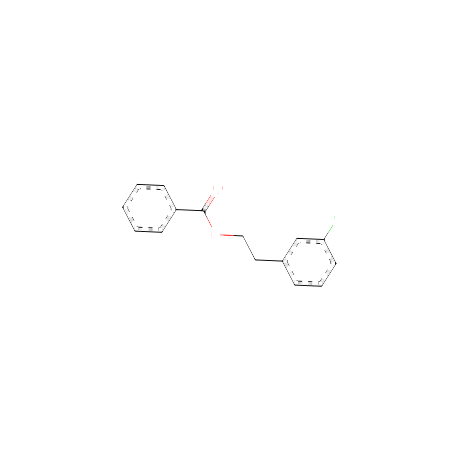 O=C(OCCc1cccc(Cl)c1)c1ccccc1